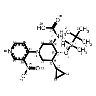 CC(C)(C)[Si](C)(C)O[C@@H]1[C@@H](C2CC2)CN(c2ccncc2[N+](=O)[O-])C[C@H]1NC(=O)O